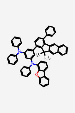 CC1(C)c2cc3ccccc3cc2-c2c(-c3ccccc3)ccc(-c3cc(N(c4ccccc4)c4ccccc4)cc(N(c4ccccc4)c4cccc5c4oc4ccccc45)c3)c21